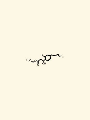 C=CCNc1ccc(C(O)CC(=O)OCC)c(F)c1